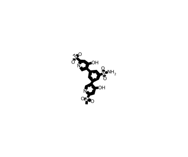 CS(=O)(=O)c1cc(O)c(-c2cc(-c3cnc(S(C)(=O)=O)cc3O)cc(S(N)(=O)=O)c2)cn1